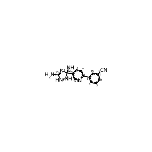 N#Cc1cccc(-c2ccc(C3(N)N=C(N)NN3)cn2)c1